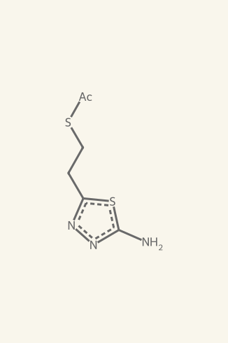 CC(=O)SCCc1nnc(N)s1